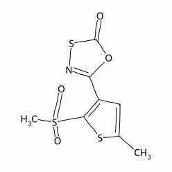 Cc1cc(-c2nsc(=O)o2)c(S(C)(=O)=O)s1